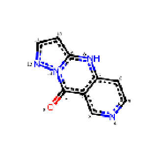 O=c1c2cnccc2[nH]c2ccnn12